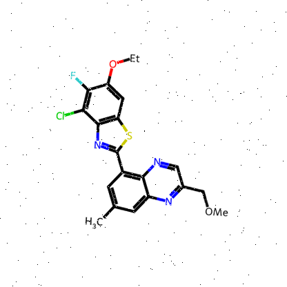 [CH2]COc1cc2sc(-c3cc(C)cc4nc(COC)cnc34)nc2c(Cl)c1F